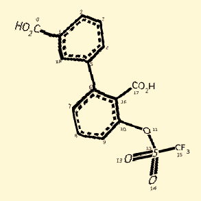 O=C(O)c1cccc(-c2cccc(OS(=O)(=O)C(F)(F)F)c2C(=O)O)c1